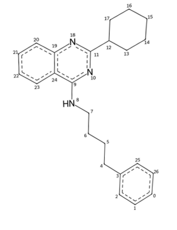 c1ccc(CCCCNc2nc(C3CCCCC3)nc3ccccc23)cc1